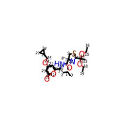 CCC[C@@H](NC(=O)[C@@]1(C)CSC(C(C)(OCC)OCC)=N1)c1cc(OCC2CC2)cc(=O)o1